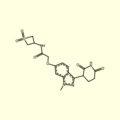 Cn1nc(C2CCC(=O)NC2=O)c2ccc(OCC(=O)NC3CS(=O)(=O)C3)cc21